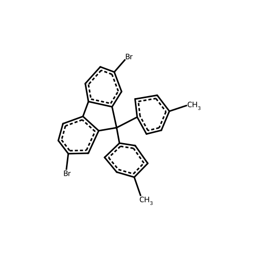 Cc1ccc(C2(c3ccc(C)cc3)c3cc(Br)ccc3-c3ccc(Br)cc32)cc1